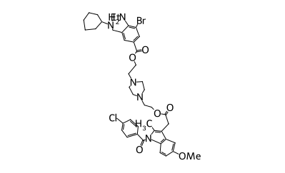 CCN(Cc1cc(C(=O)OCCN2CCN(CCOC(=O)Cc3c(C)n(C(=O)c4ccc(Cl)cc4)c4ccc(OC)cc34)CC2)cc(Br)c1N)C1CCCCC1